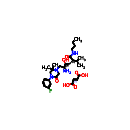 CCCCNC(=O)[C@@H](C[C@H](O)[C@@H](N)CN1CC(=O)N(c2cccc(F)c2)CC1(C)C)C(C)C.O=C(O)/C=C/C(=O)O